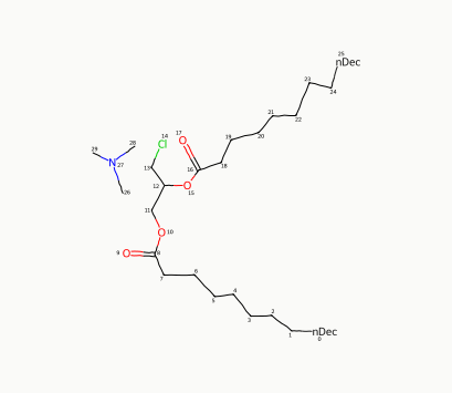 CCCCCCCCCCCCCCCCCC(=O)OCC(CCl)OC(=O)CCCCCCCCCCCCCCCCC.CN(C)C